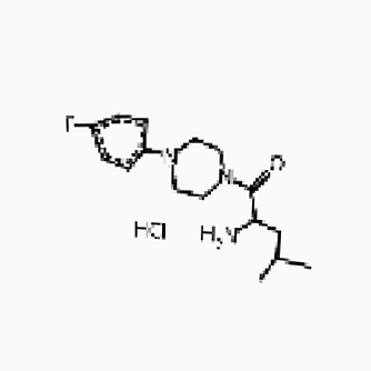 CC(C)CC(N)C(=O)N1CCN(c2ccc(F)cc2)CC1.Cl